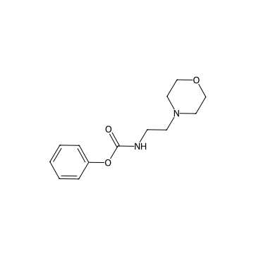 O=C(NCCN1CCOCC1)Oc1ccccc1